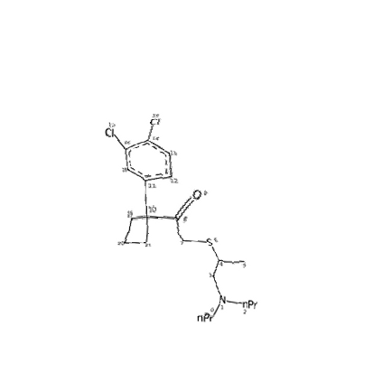 CCCN(CCC)CC(C)SCC(=O)C1(c2ccc(Cl)c(Cl)c2)CCC1